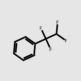 FC(F)C(F)(F)c1[c]cccc1